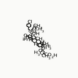 CC(C)C1=C2[C@H]3CC[C@@H]4[C@@]5(C)CCC(OC(=O)CC(C)(C)C(=O)O)C(C)(C)[C@@H]5CC[C@@]4(C)[C@]3(C)CC[C@@]2([C@H](O)CN(Cc2ccc(Cl)cc2)C(=O)CN(C)C)CC1=O